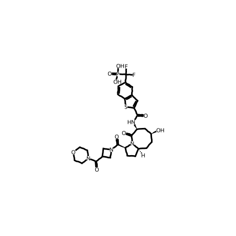 O=C(N[C@H]1C[C@@H](O)CC[C@H]2CC[C@@H](C(=O)N3CC(C(=O)N4CCOCC4)C3)N2C1=O)c1cc2cc(C(F)(F)P(=O)(O)O)ccc2s1